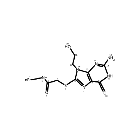 CCCNC(=O)CSc1nc2c(=O)[nH]c(N)nc2n1CCO